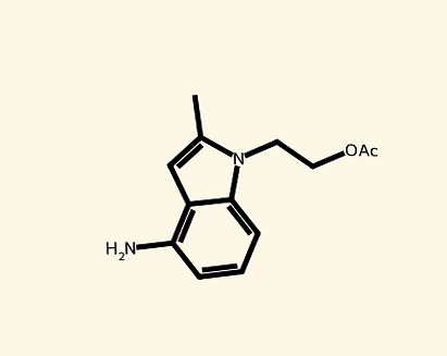 CC(=O)OCCn1c(C)cc2c(N)cccc21